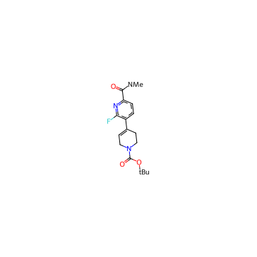 CNC(=O)c1ccc(C2=CCN(C(=O)OC(C)(C)C)CC2)c(F)n1